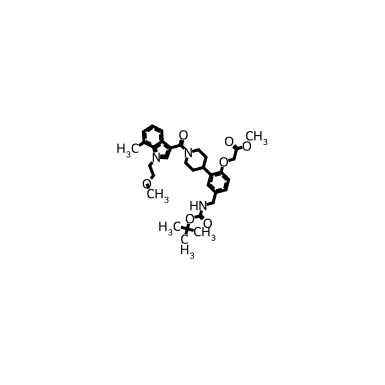 COCCn1cc(C(=O)N2CCC(c3cc(CNC(=O)OC(C)(C)C)ccc3OCC(=O)OC)CC2)c2cccc(C)c21